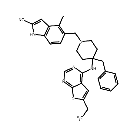 Cc1c(CN2CCC(Cc3ccccc3)(Nc3ncnc4sc(CC(F)(F)F)cc34)CC2)ccc2[nH]c(C#N)cc12